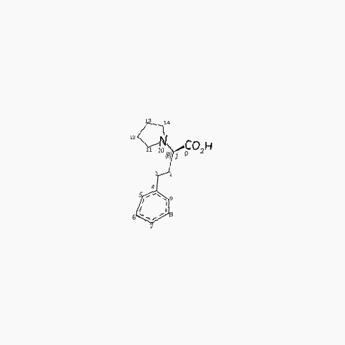 O=C(O)[C@@H](CCc1ccccc1)N1CCCC1